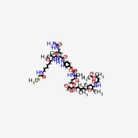 CSCC(=O)NCCCCCC(=O)N[C@H](C(=O)N[C@@H](CCCNC(N)=O)C(=O)Nc1ccc(COC(=O)NN(C)C(=O)C[C@@H]2C[C@@]3(CO3)[C@H](O)[C@@H](/C=C/C(C)=C/C[C@@H]3O[C@H](C)[C@H](NC(=O)/C=C\[C@H](C)OC(C)=O)C[C@@H]3C)O2)cc1)C(C)C